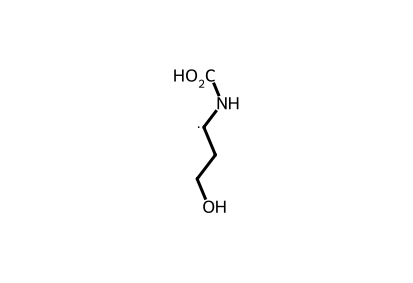 O=C(O)N[CH]CCO